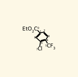 CCOC(=O)c1ccc(C(F)(F)F)c(Cl)c1